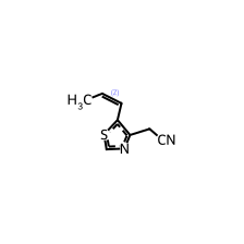 C/C=C\c1scnc1CC#N